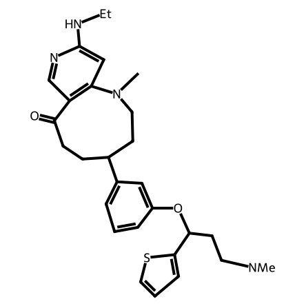 CCNc1cc2c(cn1)C(=O)CCC(c1cccc(OC(CCNC)c3cccs3)c1)CCN2C